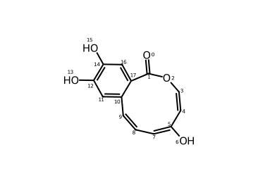 O=c1occc(O)cccc2cc(O)c(O)cc12